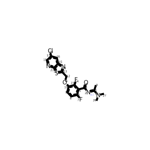 C/C(=N\C(=O)c1c(F)ccc(OCc2nc3cc(Cl)cnc3s2)c1F)N(C)C